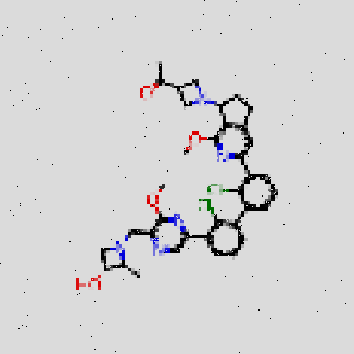 COc1nc(-c2cccc(-c3cccc(-c4cc5c(c(OC)n4)[C@@H](N4CC(C(C)=O)C4)CC5)c3Cl)c2Cl)cnc1CN1C[C@@H](O)[C@@H]1C